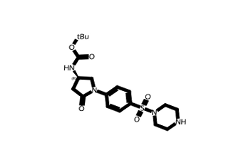 CC(C)(C)OC(=O)N[C@@H]1CC(=O)N(c2ccc(S(=O)(=O)N3CCNCC3)cc2)C1